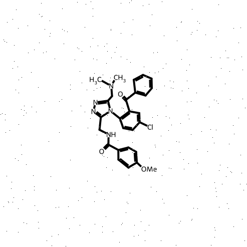 COc1ccc(C(=O)NCc2nnc(CN(C)C)n2-c2ccc(Cl)cc2C(=O)c2ccccc2)cc1